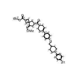 CCc1cnc(N2CCC(COc3ccc(C4=CCC(C(=O)N5CC(=NOC)C6(CN(C(=O)OC(C)(C)C)C6)C5)CC4)cc3)CC2)nc1